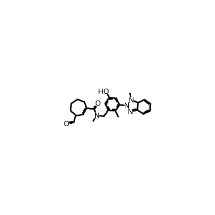 Cc1c(CN(C)C(=O)C2=CC(C=O)CCCC2)cc(O)cc1N1N=C2C=CC=CC2N1C